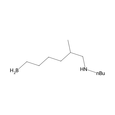 BCCCCC(C)CNCCCC